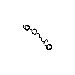 O=C(CCCCN1CCN(c2ccncc2)CC1)Oc1ccccc1